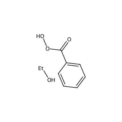 CCO.O=C(OO)c1ccccc1